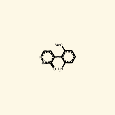 COc1cccc(N)c1-c1ccn[nH]c1=O